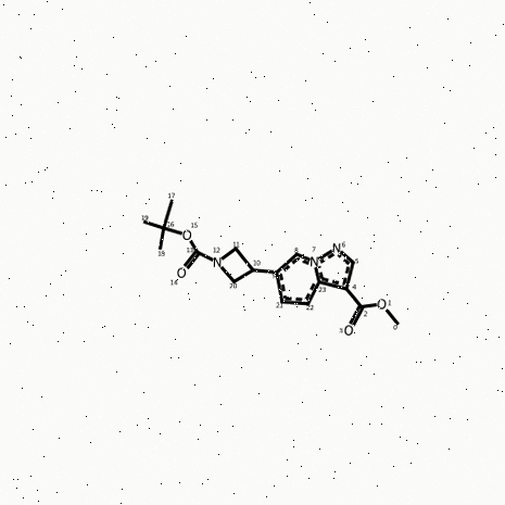 COC(=O)c1cnn2cc(C3CN(C(=O)OC(C)(C)C)C3)ccc12